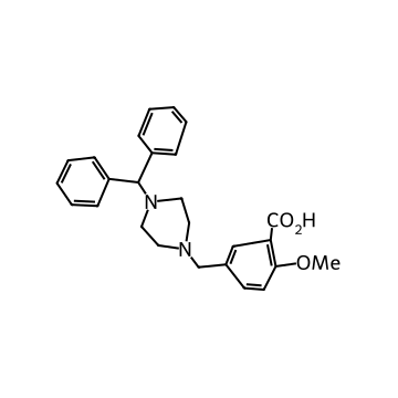 COc1ccc(CN2CCN(C(c3ccccc3)c3ccccc3)CC2)cc1C(=O)O